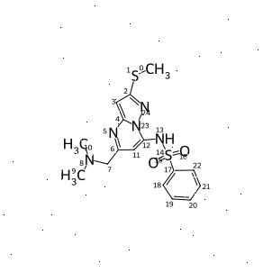 CSc1cc2nc(CN(C)C)cc(NS(=O)(=O)c3ccccc3)n2n1